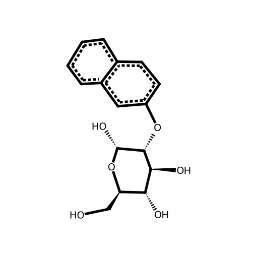 OC[C@H]1O[C@H](O)[C@H](Oc2ccc3ccccc3c2)[C@@H](O)[C@@H]1O